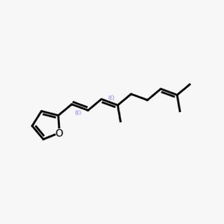 CC(C)=CCC/C(C)=C/C=C/c1ccco1